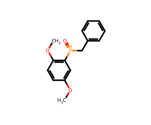 COc1ccc(OC)c([PH](=O)Cc2ccccc2)c1